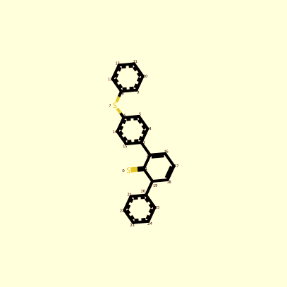 S=C1C(c2ccc(Sc3ccccc3)cc2)=CC=CC1c1ccccc1